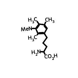 CNc1c(C)c(C)cc(CCCC(N)C(=O)O)c1C